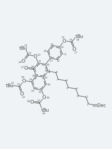 CCCCCCCCCCCCCCCCCCn1c(-c2ccc(OC(=O)C(C)(C)C)cc2)c(OC(=O)C(C)(C)C)c(=O)c2c(OC(=O)C(C)(C)C)cc(OC(=O)C(C)(C)C)cc21